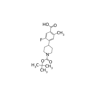 Cc1cc(C2CCN(C(=O)OC(C)(C)C)CC2)c(F)cc1C(=O)O